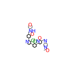 COc1cc(-c2nccc(-c3cccc(-c4ccc(CN(C)C5CCN(C(C)=O)CC5)c(OC)n4)c3Cl)c2Cl)ccc1CNC1CCOCC1